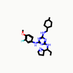 CCC(Nc1nc(NCC2CCC(C)CC2)nc(Nc2ccc(OC)c(F)c2)n1)C1CCCN1